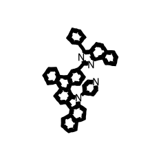 c1ccc(-c2nc(-c3ccc4c(c3)c3ccccc3c3ccc5c6c7ccccc7ccc6n(-c6ccncc6)c5c34)nc3c2ccc2ccccc23)cc1